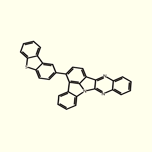 c1ccc2nc3c(nc2c1)c1ccc(-c2ccc4sc5ccccc5c4c2)c2c4ccccc4n3c12